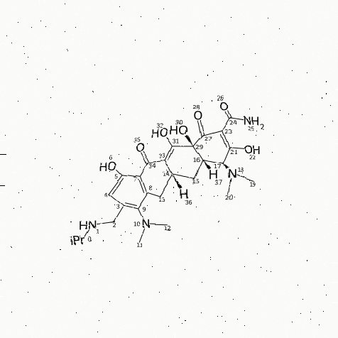 CC(C)NCc1cc(O)c2c(c1N(C)C)C[C@H]1C[C@H]3[C@H](N(C)C)C(O)=C(C(N)=O)C(=O)[C@@]3(O)C(O)=C1C2=O